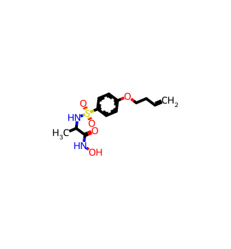 C=CCCOc1ccc(S(=O)(=O)NC(C)C(=O)NO)cc1